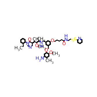 CCc1ccccc1N1C=NC/C(=C(C)\C(OC)=C(/C)NCc2cc(COc3cc(N)c(C)cc3OC)cc(OCCCCC(=O)NCCSSc3ccccn3)c2)C1=O